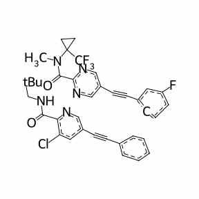 CC(C)(C)CNC(=O)c1ncc(C#Cc2ccccc2)cc1Cl.CN(C(=O)c1ncc(C#Cc2cccc(F)c2)cn1)C1(C(F)(F)F)CC1